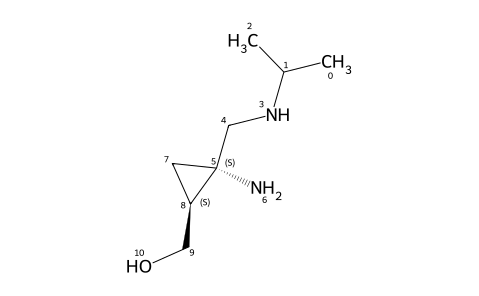 CC(C)NC[C@]1(N)C[C@@H]1CO